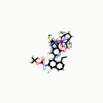 CCc1cccc2c(F)c(NC(=O)OC(C)(C)C)cc(-c3nc4c5c(nc(SC)nc5c3F)N3C[C@H]5CC[C@@H]([C@H]3[C@H](C)O4)N5C(=O)OC(C)(C)C)c12